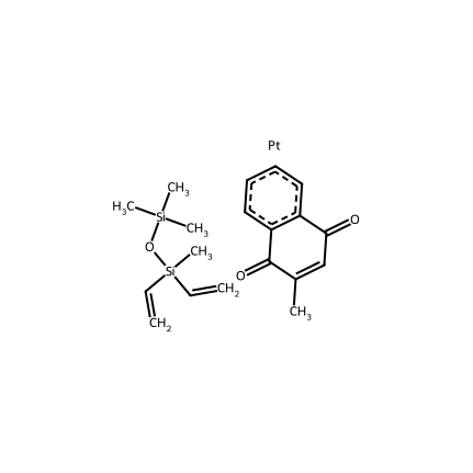 C=C[Si](C)(C=C)O[Si](C)(C)C.CC1=CC(=O)c2ccccc2C1=O.[Pt]